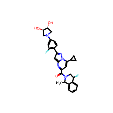 C[C@@H]1c2ccccc2C(F)CN1C(=O)c1cc(C2CC2)n2nc(-c3ccc(N4C[C@@H](O)[C@H](O)C4)cc3F)cc2n1